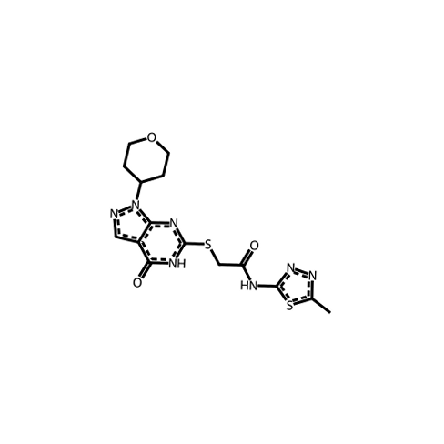 Cc1nnc(NC(=O)CSc2nc3c(cnn3C3CCOCC3)c(=O)[nH]2)s1